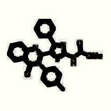 COC(=O)Nc1nc(-c2ccccc2)c(-c2nc3ccccc3c(=O)n2-c2ccc(C)cc2)s1